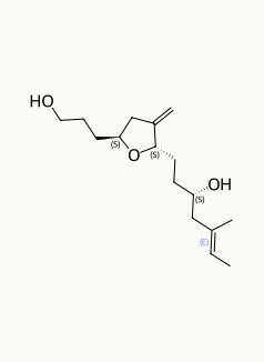 C=C1C[C@H](CCCO)O[C@H]1CC[C@H](O)C/C(C)=C/C